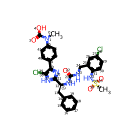 CN(C(=O)O)c1ccc(-c2nc([C@H](Cc3ccccc3)NC(=O)NCc3cc(Cl)ccc3NS(C)(=O)=O)[nH]c2Cl)cc1